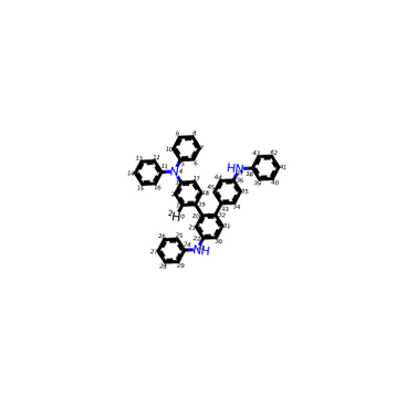 [2H]c1cc(N(c2ccccc2)c2ccccc2)ccc1-c1cc(Nc2ccccc2)ccc1-c1ccc(Nc2ccccc2)cc1